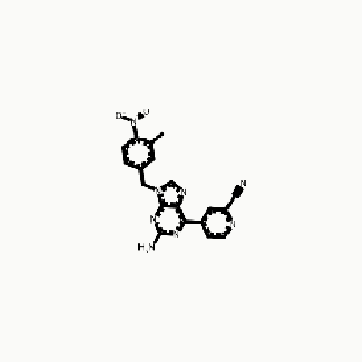 Cc1cc(Cn2cnc3c(-c4ccnc(C#N)c4)nc(N)nc32)ccc1[N+](=O)[O-]